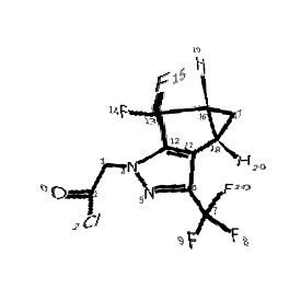 O=C(Cl)Cn1nc(C(F)(F)F)c2c1C(F)(F)[C@@H]1C[C@H]21